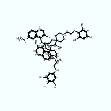 COc1ccc2ncc(F)c(CCCC3(C(O)C(O)C4(CCCc5c(F)cnc6ccc(OC)cc56)CCN(CCSc5c(F)cc(F)cc5F)CC4)CCN(CCSc4cc(F)c(F)c(F)c4)CC3)c2c1